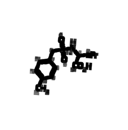 CCCC(NS(=O)(=O)Cc1ccc(C)cc1)C(=O)O